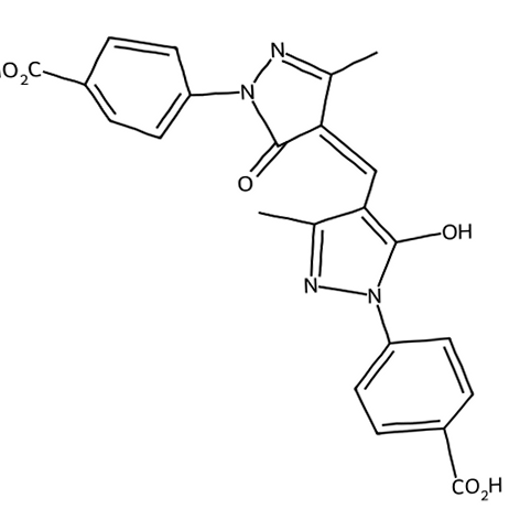 CC1=NN(c2ccc(C(=O)O)cc2)C(=O)/C1=C\c1c(C)nn(-c2ccc(C(=O)O)cc2)c1O